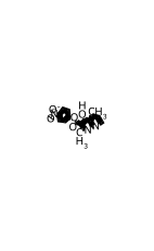 Cc1nc2nccc(C)c2c(O)c1C(=O)Oc1ccc([N+](=O)[O-])cc1